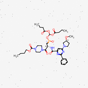 CCCCOC(=O)N1CCN(C(=O)[C@H](/C=[P+](\[O-])OC(OC(=O)CCC)OC(=O)CCC)NC(=O)c2cc(N3CC[C@H](OC)C3)nc(-c3ccccc3)n2)CC1